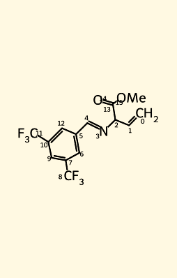 C=CC(/N=C/c1cc(C(F)(F)F)cc(C(F)(F)F)c1)C(=O)OC